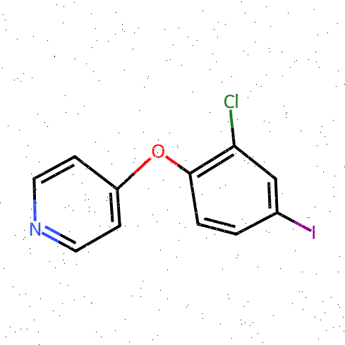 Clc1cc(I)ccc1Oc1ccncc1